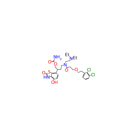 CCN(CC)CCN(CCC(COC(N)=O)c1ccc(O)c2[nH]c(=O)sc12)C(=O)CCOCCc1cccc(Cl)c1Cl